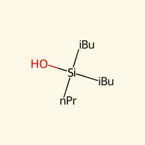 CCC[Si](O)(C(C)CC)C(C)CC